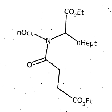 CCCCCCCCN(C(=O)CCC(=O)OCC)C(CCCCCCC)C(=O)OCC